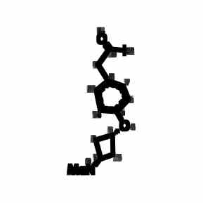 CN[C@H]1C[C@H](Oc2ccc(CC(=O)I)cc2)C1